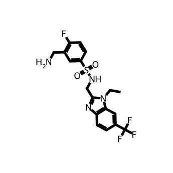 CCn1c(CNS(=O)(=O)c2ccc(F)c(CN)c2)nc2ccc(C(F)(F)F)cc21